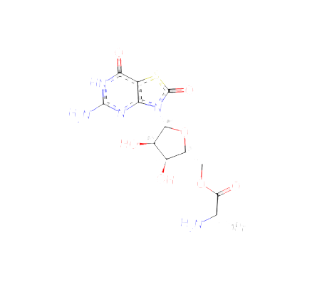 CC(C)[C@H](N)C(=O)OC[C@H]1O[C@@H](n2c(=O)sc3c(=O)[nH]c(N)nc32)[C@H](O)[C@@H]1O